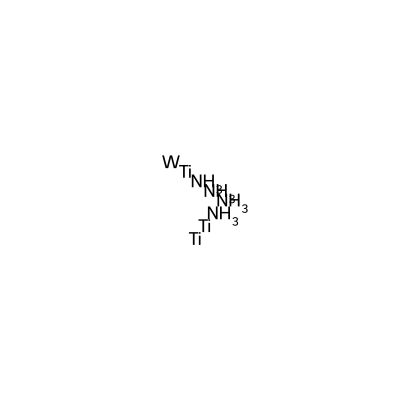 N.N.N.N.[Ti].[Ti].[Ti].[W]